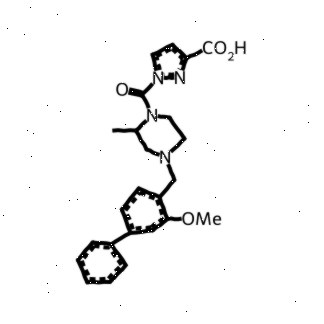 COc1cc(-c2ccccc2)ccc1CN1CCN(C(=O)n2ccc(C(=O)O)n2)C(C)C1